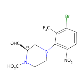 O=C[C@H]1CN(c2c([N+](=O)[O-])ccc(Br)c2C(F)(F)F)CCN1C(=O)O